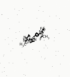 COc1ncnc(C2CC2)c1-c1ncc2cnn(Cc3ccc(-c4nc(C(F)(F)F)cn4C(C)CF)cc3)c2n1